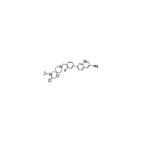 N#Cc1cnc2cc(-c3ccc(CN4CCC5(CC4)CN(C4CC4)C(=O)CO5)c(F)c3)ccc2c1